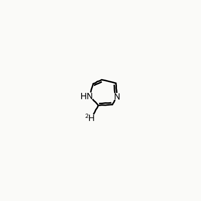 [2H]C1=CN=CC=CN1